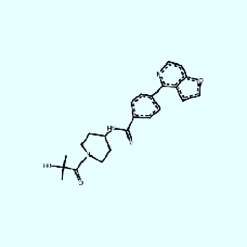 CC(C)(O)C(=O)N1CCC(NC(=O)c2ccc(-c3nccc4occc34)cc2)CC1